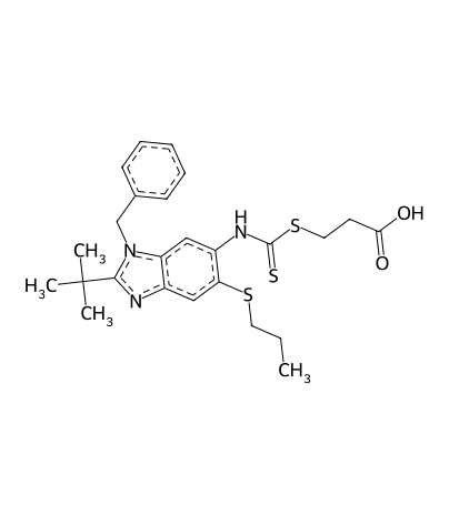 CCCSc1cc2nc(C(C)(C)C)n(Cc3ccccc3)c2cc1NC(=S)SCCC(=O)O